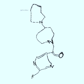 C[C@@H]1CCCN(C2CCN(C(=O)c3cnc(F)cn3)CC2)C1